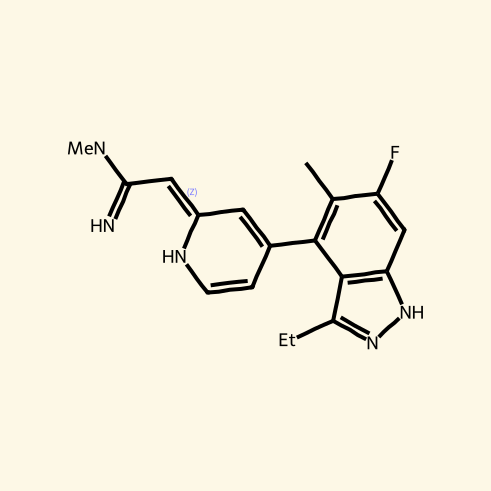 CCc1n[nH]c2cc(F)c(C)c(C3=C/C(=C/C(=N)NC)NC=C3)c12